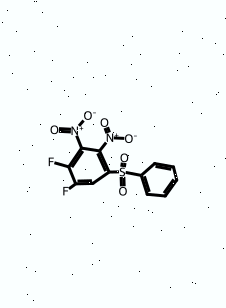 O=[N+]([O-])c1c(S(=O)(=O)c2ccccc2)cc(F)c(F)c1[N+](=O)[O-]